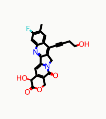 Cc1cc2c(C#CCCO)c3c(nc2cc1F)-c1cc2c(c(=O)n1C3)COC(=O)[C@H]2O